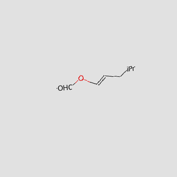 CC(C)CC=CO[C]=O